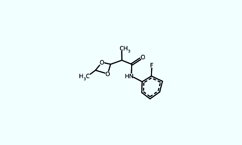 CC1OC(C(C)C(=O)Nc2ccccc2F)O1